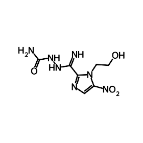 N=C(NNC(N)=O)c1ncc([N+](=O)[O-])n1CCO